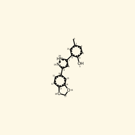 Cc1ccc(O)c(-c2cc(-c3ccc4c(c3)OCO4)n[nH]2)c1